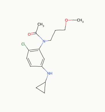 COCCCN(C(C)=O)c1cc(NC2CC2)ccc1Cl